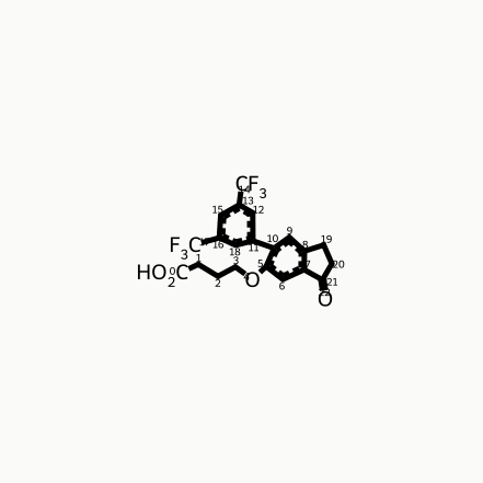 O=C(O)CCCOc1cc2c(cc1-c1cc(C(F)(F)F)cc(C(F)(F)F)c1)CCC2=O